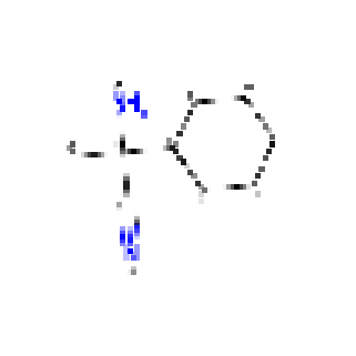 CC(N)(C#N)C1CCCCC1